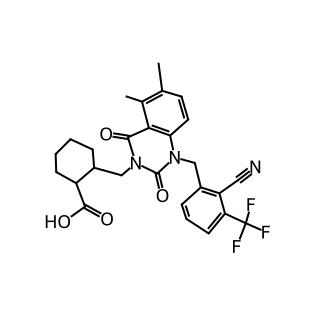 Cc1ccc2c(c1C)c(=O)n(CC1CCCCC1C(=O)O)c(=O)n2Cc1cccc(C(F)(F)F)c1C#N